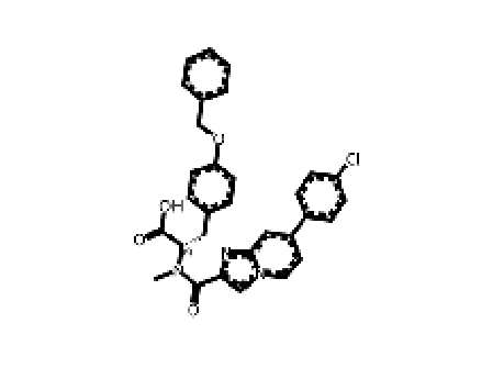 CN(C(=O)c1cn2ccc(-c3ccc(Cl)cc3)cc2n1)[C@@H](Cc1ccc(OCc2ccccc2)cc1)C(=O)O